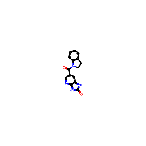 O=C(c1cnc2[nH]c(=O)[nH]c2c1)N1CCc2ccccc21